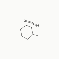 CC1CCCCC1.N=C=O